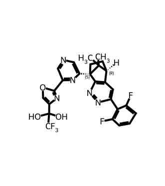 CC1(C)[C@H]2CC[C@]1(c1cncc(-c3nc(C(O)(O)C(F)(F)F)co3)n1)c1nnc(-c3c(F)cccc3F)cc12